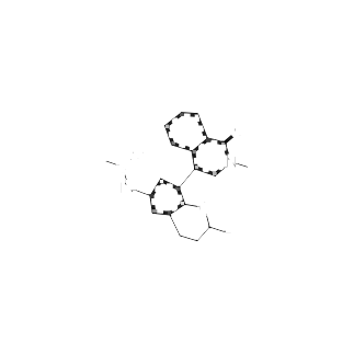 CCC1CCc2cc(N[S+](C)[O-])cc(-c3cn(C)c(=O)c4ccccc34)c2O1